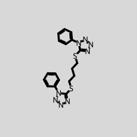 c1ccc(-n2nnnc2SCCCCSc2nnnn2-c2ccccc2)cc1